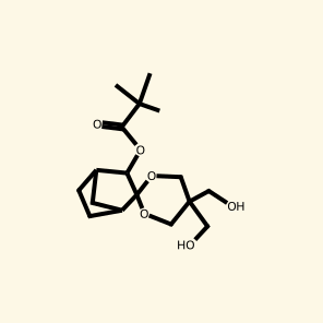 CC(C)(C)C(=O)OC1C2CCC(C2)C12OCC(CO)(CO)CO2